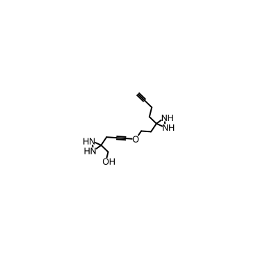 C#CCCC1(CCOC#CCC2(CO)NN2)NN1